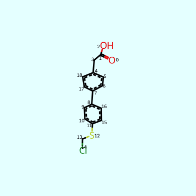 O=C(O)Cc1ccc(-c2ccc(SCCl)cc2)cc1